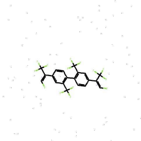 F/C=C(/c1ccc(-c2ccc(/C(=C\F)C(F)(F)F)cc2C(F)(F)F)c(C(F)(F)F)c1)C(F)(F)F